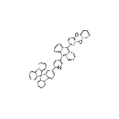 c1ccc2c(c1)Oc1ccc(-c3c4ccccc4c(-c4ccc(-c5ccc6c(c5)C5(c7ccccc7-c7ccccc75)c5ccccc5-6)nc4)c4ccccc34)cc1O2